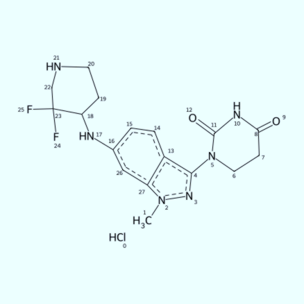 Cl.Cn1nc(N2CCC(=O)NC2=O)c2ccc(NC3CCNCC3(F)F)cc21